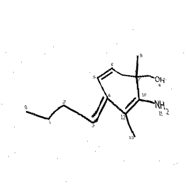 CCCC=C1C=CC(C)(O)C(N)=C1C